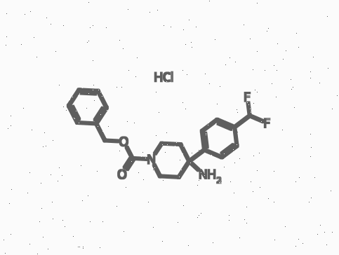 Cl.NC1(c2ccc(C(F)F)cc2)CCN(C(=O)OCc2ccccc2)CC1